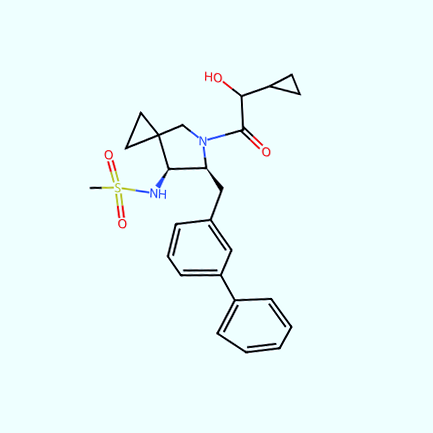 CS(=O)(=O)N[C@@H]1[C@H](Cc2cccc(-c3ccccc3)c2)N(C(=O)C(O)C2CC2)CC12CC2